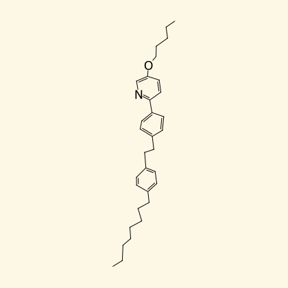 CCCCCCCCc1ccc(CCc2ccc(-c3ccc(OCCCCC)cn3)cc2)cc1